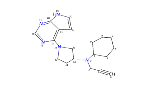 C#CCN(C1CCCCC1)[C@@H]1CCN(c2ncnc3[nH]ccc23)C1